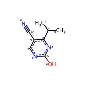 CC(C)c1nc(O)ncc1C#N